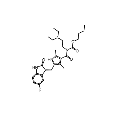 CCCCOC(=O)N(CCN(CC)CC)C(=O)c1c(C)[nH]c(C=C2C(=O)Nc3ccc(F)cc32)c1C